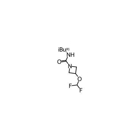 CC[C@@H](C)NC(=O)N1CC(OC(F)F)C1